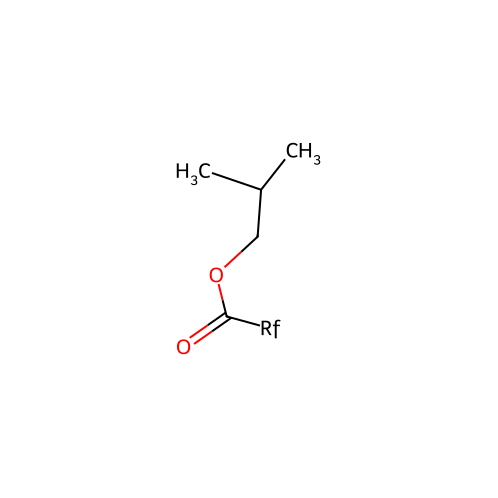 CC(C)CO[C](=O)[Rf]